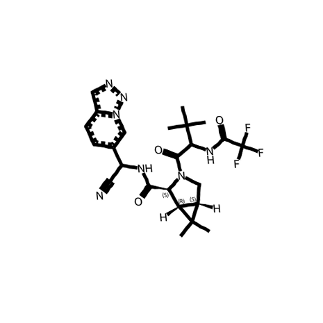 CC(C)(C)C(NC(=O)C(F)(F)F)C(=O)N1C[C@H]2[C@@H]([C@H]1C(=O)NC(C#N)c1ccc3cnnn3c1)C2(C)C